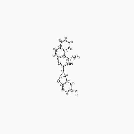 C[C@H](NC(=O)C1C2Oc3ccc(F)cc3C21)c1cccc2ncccc12